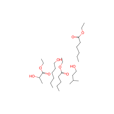 CC(C)CCO.CCCCC(=O)OCC.CCCCCC(=O)OCC.CCCCCCO.CCOC(=O)C(C)O